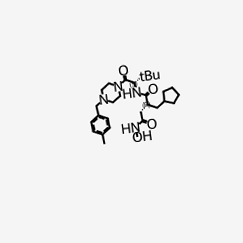 Cc1ccc(CN2CCN(C(=O)[C@@H](NC(=O)[C@@H](CC(=O)NO)CC3CCCC3)C(C)(C)C)CC2)cc1